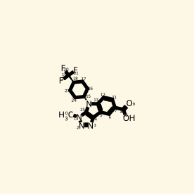 Cn1nnc2c3cc(C(=O)O)ccc3n([C@H]3CC[C@H](C(F)(F)F)CC3)c21